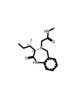 CC[C@H](C)[C@H]1C(=O)Nc2ccccc2CN1CC(=O)NC